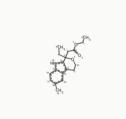 CCOC(=O)CC1(CC)OCCc2c1[nH]c1ccc(C)cc21